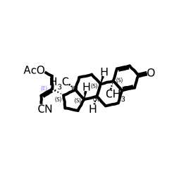 CC(=O)OC/C(=C/C#N)[C@H]1CC[C@H]2[C@@H]3CCC4=CC(=O)C=C[C@]4(C)[C@H]3CC[C@]12C